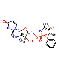 C=C1NC(=O)C=CN1[C@@H]1O[C@H](CO[P@@](=O)(N[C@@H](C)C(=O)OC)Oc2ccccc2)[C@@H](O)[C@@]1(C)N